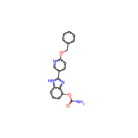 NC(=O)Oc1cccc2[nH]c(-c3ccc(OCc4ccccc4)nc3)nc12